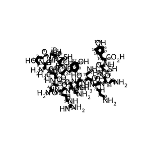 CC[C@H](C)[C@H](NC(=O)[C@@H]1C[C@@H](O)CN1C(=O)[C@@H](N)C(C)C)C(=O)N[C@H](C(=O)N[C@@H](Cc1ccc(O)cc1)C(=O)N[C@H](C(=O)N[C@@H](CC(N)=O)C(=O)N[C@@H](CCCNC(=N)N)C(=O)N[C@@H](CCN)C(=O)N[C@H](C(=O)N[C@@H](CCN)C(=O)N[C@@H](CCCCN)C(=O)N[C@@H](CCN)C(=O)SN[C@@H](CS)C(=O)N[C@@H](Cc1ccc(O)cc1)C(=O)O)[C@@H](C)O)[C@@H](C)O)C(C)(C)S